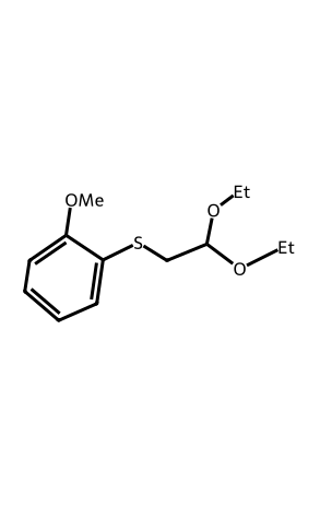 CCOC(CSc1ccccc1OC)OCC